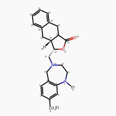 CCOC(=O)c1ccc2c(c1)N(CC)CCN(C[C@H]1OC(=O)C3Cc4ccccc4C[C@H]31)C2